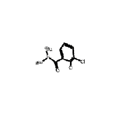 CCC(C)N(C(=O)c1cccc(Cl)c1Cl)C(C)CC